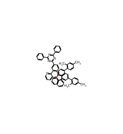 Cc1ccc(-c2ccc3c(c2)c2ccccc2n3-c2ccc(-c3nc(-c4ccccc4)nc(-c4ccccc4)n3)cc2-c2ncccc2-n2c3ccccc3c3cc(-c4ccc(C)cc4C)ccc32)c(C)c1